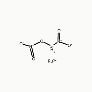 O=[N+]([O-])O[SiH2][N+](=O)[O-].[Ru+3]